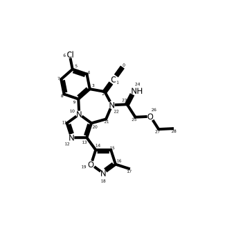 C=C=C1c2cc(Cl)ccc2-n2cnc(-c3cc(C)no3)c2CN1C(=N)COCC